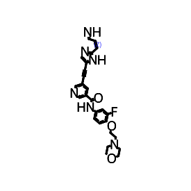 N=C/C=C\c1ncc(C#Cc2cncc(C(=O)Nc3ccc(OCCN4CCOCC4)c(F)c3)c2)[nH]1